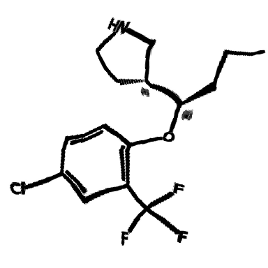 CCC[C@@H](Oc1ccc(Cl)cc1C(F)(F)F)[C@@H]1CCNC1